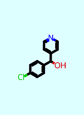 OC(c1ccncc1)c1ccc(Cl)cc1